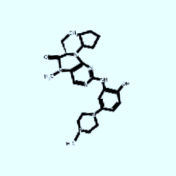 CC[C@@H]1C(=O)N(C)c2cnc(Nc3cc(N4CCN(C)CC4)ccc3O)nc2N1C1CCCC1